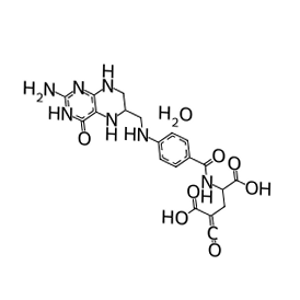 Nc1nc2c(c(=O)[nH]1)NC(CNc1ccc(C(=O)NC(CC(=C=O)C(=O)O)C(=O)O)cc1)CN2.O